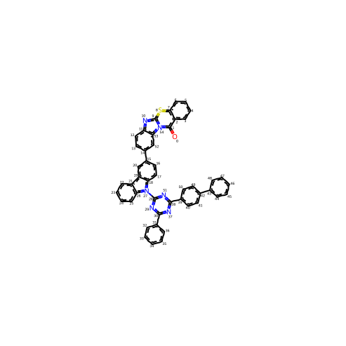 O=c1c2ccccc2sc2nc3ccc(-c4ccc5c(c4)c4ccccc4n5-c4nc(-c5ccccc5)nc(-c5ccc(-c6ccccc6)cc5)n4)cc3n12